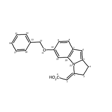 O=C(O)C=C1CCc2cc3ccc(OCc4ccccc4)cc3n21